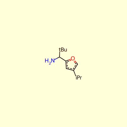 CC(C)c1coc(C(N)C(C)(C)C)c1